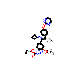 CC(C)OC(=O)Nc1ccc(-c2c(C#N)c3ccc(Oc4ncccn4)cc3n2C2CCC2)cc1OC(F)(F)F